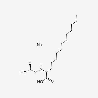 CCCCCCCCCCCCC(NCC(=O)O)C(=O)O.[Na]